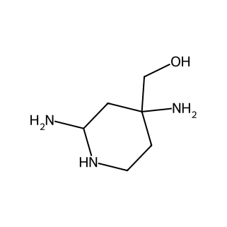 NC1CC(N)(CO)CCN1